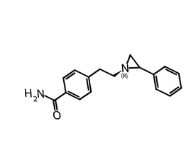 NC(=O)c1ccc(CC[N@@]2CC2c2ccccc2)cc1